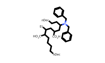 CCCCCCCCCCCCCCC(C(=O)O)C(CC)CC(CC(CCCCCCCCCCCC)N(Cc1ccccc1)Cc1ccccc1)C(=O)O